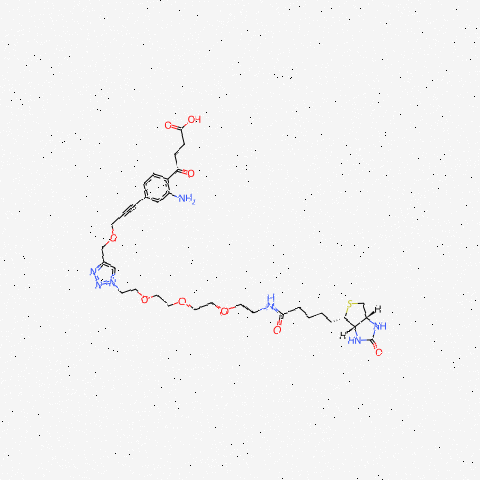 Nc1cc(C#CCOCc2cn(CCOCCOCCOCCNC(=O)CCCC[C@@H]3SC[C@@H]4NC(=O)N[C@@H]43)nn2)ccc1C(=O)CCC(=O)O